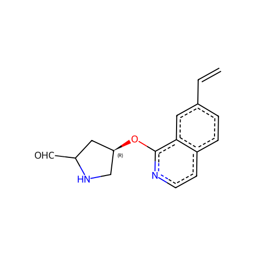 C=Cc1ccc2ccnc(O[C@H]3CNC(C=O)C3)c2c1